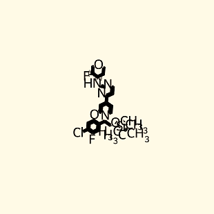 CC(C)(C)[Si](C)(C)OCC(c1ccc(Cl)c(F)c1)n1ccc(-c2ccnc(N[C@@H]3CCOC[C@H]3F)n2)cc1=O